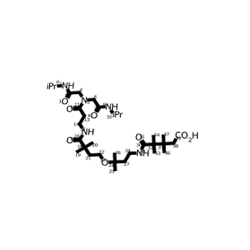 CC(C)NC(=O)CN(CC(=O)NC(C)C)C(=O)CCNC(=O)C(C)(C)CCOC(C)(C)CCNC(=O)C(C)(C)C(C)(C)CC(=O)O